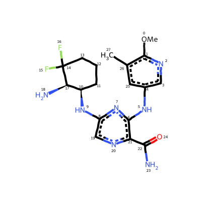 COc1ncc(Nc2nc(N[C@@H]3CCCC(F)(F)[C@@H]3N)cnc2C(N)=O)cc1C